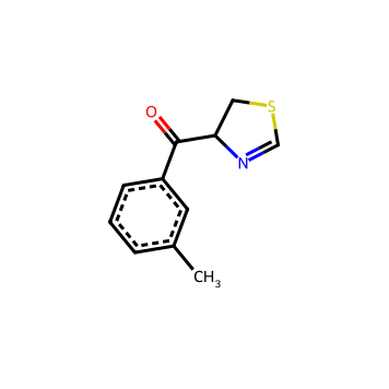 Cc1cccc(C(=O)C2CSC=N2)c1